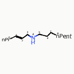 CCCC=CCNCCCCCCCC